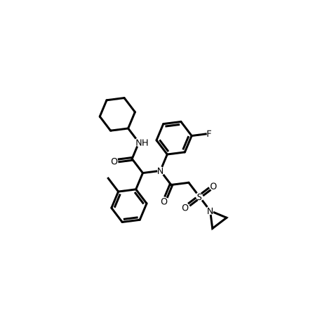 Cc1ccccc1C(C(=O)NC1CCCCC1)N(C(=O)CS(=O)(=O)N1CC1)c1cccc(F)c1